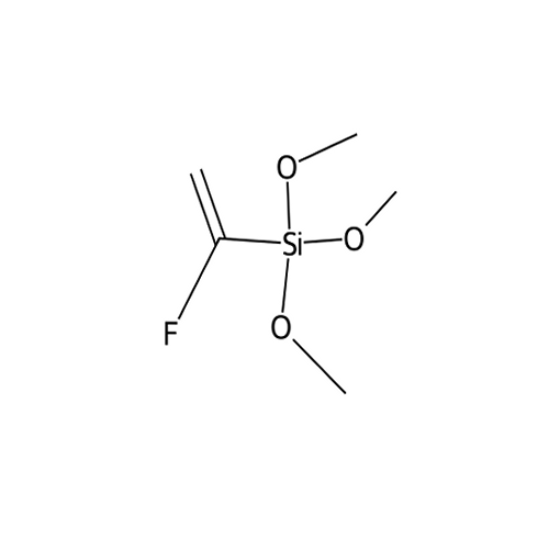 C=C(F)[Si](OC)(OC)OC